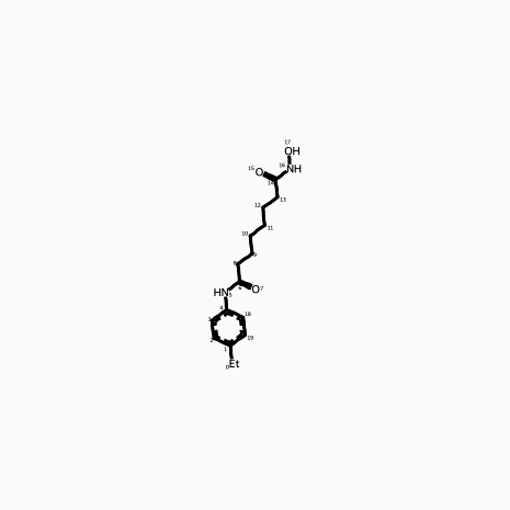 CCc1ccc(NC(=O)CCCCCCC(=O)NO)cc1